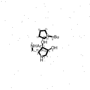 CC(=O)NC[C@H]1NC[C@H](O)[C@@H]1O.CCCCN1CCCC1